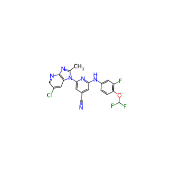 Cc1nc2ncc(Cl)cc2n1-c1cc(C#N)cc(Nc2ccc(OC(F)F)c(F)c2)n1